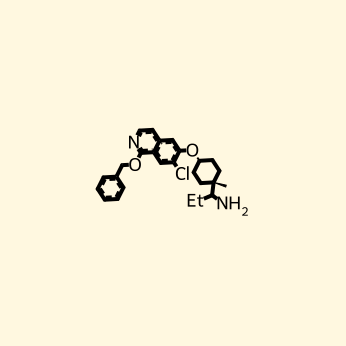 CCC(N)[C@]1(C)CC[C@H](Oc2cc3ccnc(OCc4ccccc4)c3cc2Cl)CC1